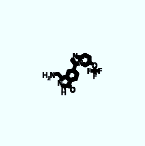 NCc1n[nH]c(=O)c2ccc(-c3cnc4ccc(OC(F)(F)F)cn34)cc12